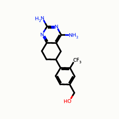 Nc1nc(N)c2c(n1)CCC(c1ccc(CO)cc1C(F)(F)F)C2